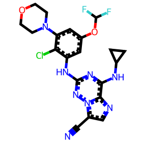 N#Cc1cnc2c(NC3CC3)nc(Nc3cc(OC(F)F)cc(N4CCOCC4)c3Cl)nn12